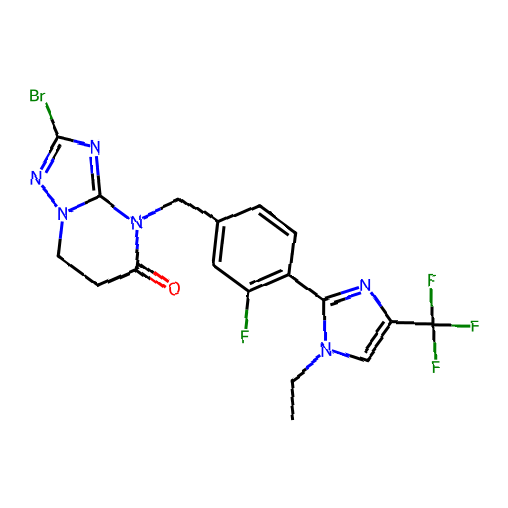 CCn1cc(C(F)(F)F)nc1-c1ccc(CN2C(=O)CCn3nc(Br)nc32)cc1F